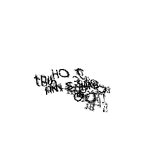 CSc1sc(C=NNC(=O)OC(C)(C)C)cc1S(=O)(=O)c1cccc(-c2c(C)cccc2NC(=O)CCC(=O)O)c1